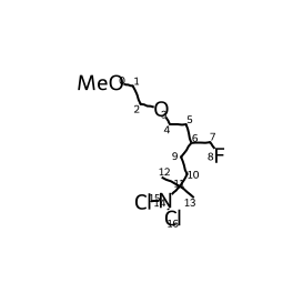 COCCOCCC(CF)CCC(C)(C)N(Cl)Cl